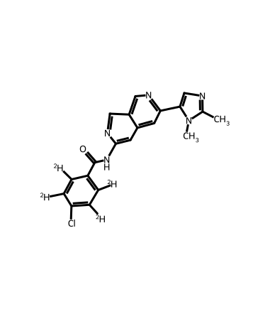 [2H]c1c([2H])c(C(=O)Nc2cc3cc(-c4cnc(C)n4C)ncc3cn2)c([2H])c([2H])c1Cl